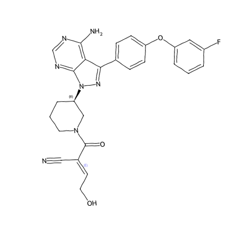 N#C/C(=C\CO)C(=O)N1CCC[C@@H](n2nc(-c3ccc(Oc4cccc(F)c4)cc3)c3c(N)ncnc32)C1